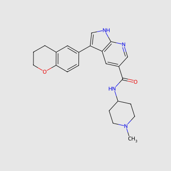 CN1CCC(NC(=O)c2cnc3[nH]cc(-c4ccc5c(c4)CCCO5)c3c2)CC1